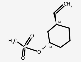 C=C[C@H]1CCC[C@H](OS(C)(=O)=O)C1